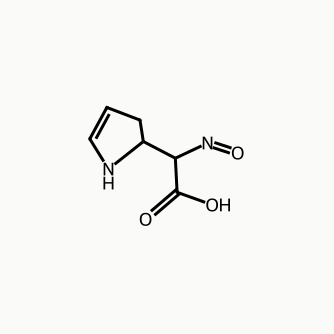 O=NC(C(=O)O)C1CC=CN1